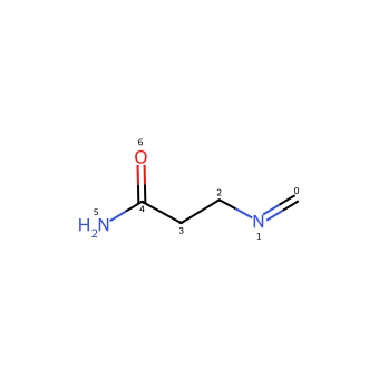 C=NCCC(N)=O